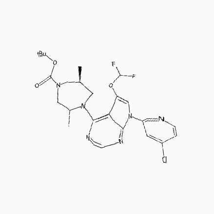 CC1CN(C(=O)OC(C)(C)C)[C@@H](C)CN1c1ncnc2c1c(OC(F)F)cn2-c1cc(Cl)ccn1